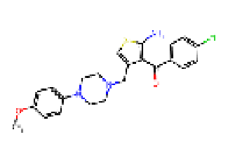 Nc1scc(CN2CCN(c3ccc(OC(F)(F)F)cc3)CC2)c1C(=O)c1ccc(Cl)cc1